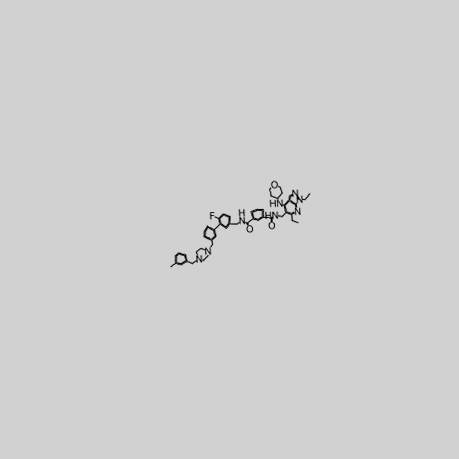 CCc1nc2c(cnn2CC)c(NC2CCOCC2)c1CNC(=O)c1cccc(C(=O)NCc2ccc(F)c(-c3cccc(CN4CCN(Cc5cccc(C)c5)CC4)c3)c2)c1